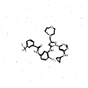 Cc1ccc(NC(=O)c2cccc(C(F)(F)F)c2)cc1Nc1cc(CN2CCOCC2)nn1-c1cc(NC2CC2)ncn1